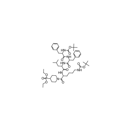 CCOP(=O)(OCC)C1CCN(C(=O)C(CCCCNC(=O)OC(C)(C)C)NC(=O)C(CC(C)C)NC(=O)C(Cc2ccccc2)NC(=O)C(Cc2ccccc2)NC(=O)OC(C)(C)C)CC1